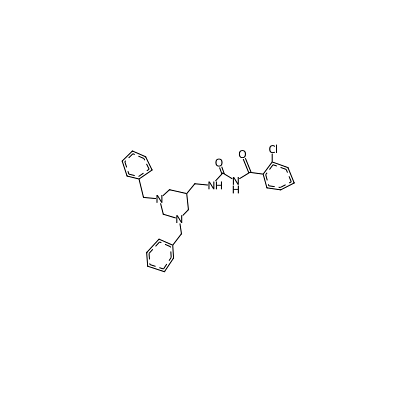 O=C(NCC1CN(Cc2ccccc2)CN(Cc2ccccc2)C1)NC(=O)c1ccccc1Cl